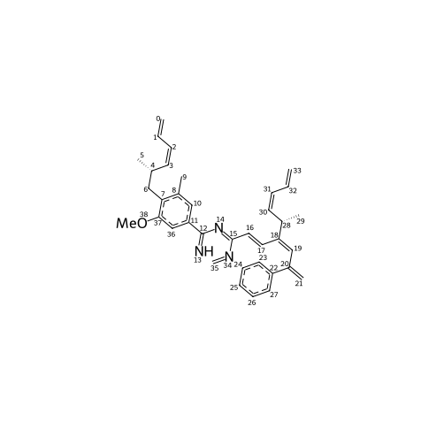 C=C/C=C\[C@@H](C)Cc1c(C)cc(C(=N)/N=C(/C=C/C(=C\C(=C)c2ccccc2)[C@@H](C)/C=C\C=C)N=C)cc1OC